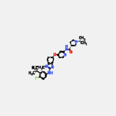 CC(C)c1cc(Nc2nc3cc(Oc4ccnc(NC(=O)[C@@H]5CCN(C(C)C)C5)c4)ccc3n2C)ccc1F